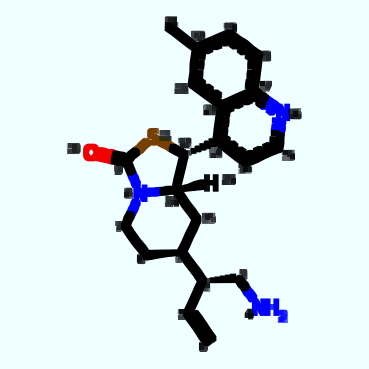 C=C[C@@H](CN)[C@H]1CCN2C(=O)S[C@H](c3ccnc4ccc(C)cc34)[C@@H]2C1